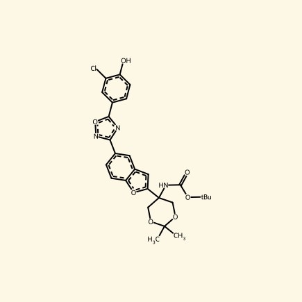 CC(C)(C)OC(=O)NC1(c2cc3cc(-c4noc(-c5ccc(O)c(Cl)c5)n4)ccc3o2)COC(C)(C)OC1